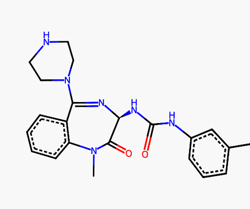 Cc1cccc(NC(=O)N[C@@H]2N=C(N3CCNCC3)c3ccccc3N(C)C2=O)c1